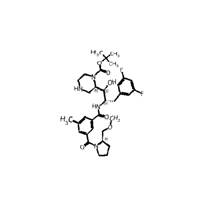 COC[C@H]1CCCN1C(=O)c1cc(C)cc(C(=O)N[C@@H](Cc2cc(F)cc(F)c2)[C@H](O)[C@H]2CNCCN2C(=O)OC(C)(C)C)c1